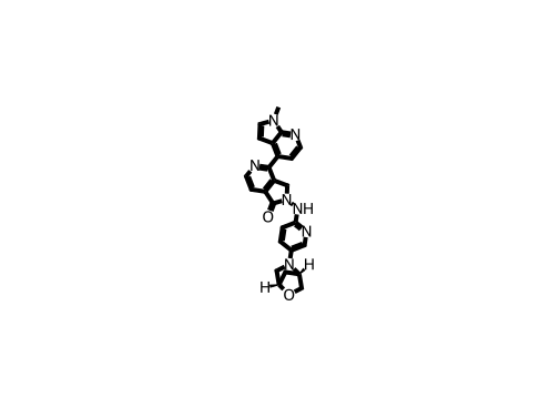 Cn1ccc2c(-c3nccc4c3CN(Nc3ccc(N5C[C@@H]6C[C@H]5CO6)cn3)C4=O)ccnc21